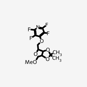 COC1OC(COc2c(F)c(F)nc(F)c2F)C2OC(C)(C)OC12